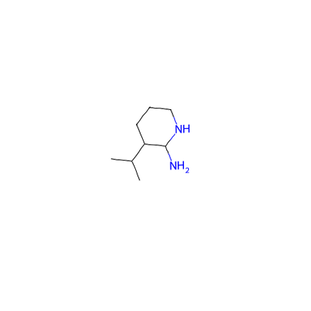 CC(C)C1CCCNC1N